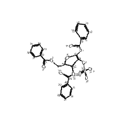 O=C(OCC1OC(OC(=O)c2ccccc2)C(OS(=O)(=O)C(F)(F)F)C1OC(=O)c1ccccc1)c1ccccc1